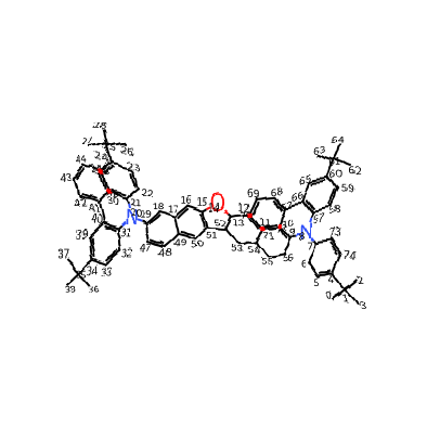 CC(C)(C)C1=CCC(N(C2=CC3=CC4Oc5cc6cc(N(c7ccc(C(C)(C)C)cc7)c7ccc(C(C)(C)C)cc7-c7ccccc7)ccc6cc5C4CC3CC2)c2ccc(C(C)(C)C)cc2-c2ccccc2)C=C1